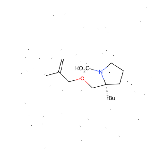 C=C(C)COC[C@]1(C(C)(C)C)CCCN1C(=O)O